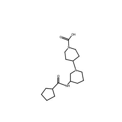 O=C(NC1CCCN(C2CCN(C(=O)O)CC2)C1)C1CCCC1